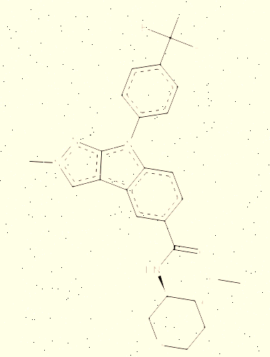 CO[C@@H]1CCOC[C@H]1NC(=O)c1ccc2c(c1)c1cn(C)nc1n2-c1ccc(C(F)(F)F)cc1